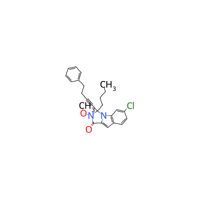 CCCCC1(C#CCCc2ccccc2)N(OC)C(=O)c2cc3ccc(Cl)cc3n21